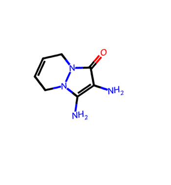 Nc1c(N)n2n(c1=O)CC=CC2